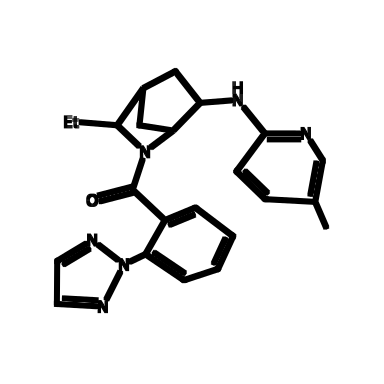 CCC1C2CC(Nc3ccc(C)cn3)C(C2)N1C(=O)c1ccccc1-n1nccn1